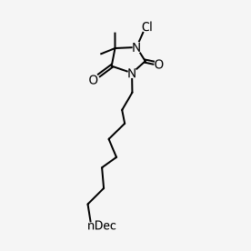 CCCCCCCCCCCCCCCCCCN1C(=O)N(Cl)C(C)(C)C1=O